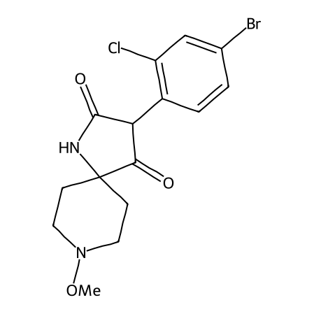 CON1CCC2(CC1)NC(=O)C(c1ccc(Br)cc1Cl)C2=O